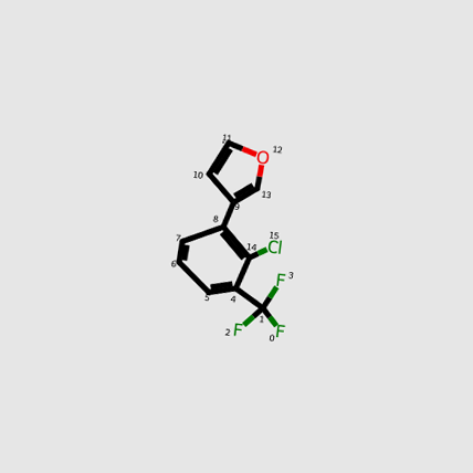 FC(F)(F)c1cccc(-c2c[c]oc2)c1Cl